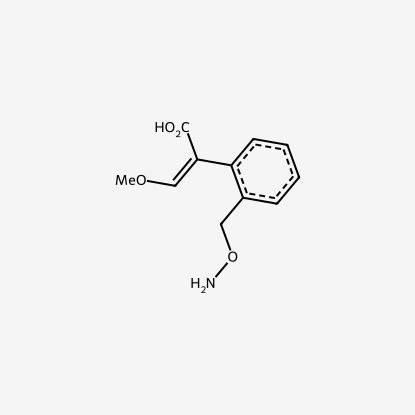 COC=C(C(=O)O)c1ccccc1CON